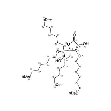 CCCCCCCCCCCCCCCCOC1=C(O)C(=O)O[C@]1(CCCCCCCCCCCCCCCC)[C@@](CO)(CCCCCCCCCCCCCCCC)OCCCCCCCCCCCCCCCC